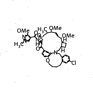 COc1nn(C)cc1C(=O)NS1(=O)=NC(=O)c2ccc3c(c2)N(Cc2ccc(Cl)cc2CCCCO3)C[C@@H]2CC[C@H]2[C@@H](OC)/C=C/[C@H](OC)[C@H](C)C1